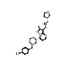 Cc1nn2c([C@H]3CCCN(Cc4ccc(Cl)cc4)C3)ccnc2c1CNC[C@@H]1CCOC1